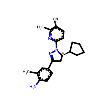 Cc1cc(C2=NN(c3ccc(C#N)c(C)n3)[C@@H](C3CCCC3)C2)ccc1N